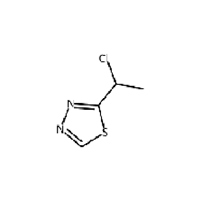 CC(Cl)c1nncs1